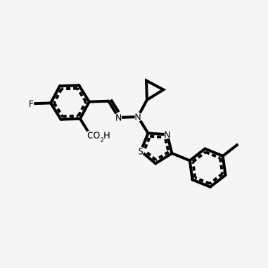 Cc1cccc(-c2csc(N(N=Cc3ccc(F)cc3C(=O)O)C3CC3)n2)c1